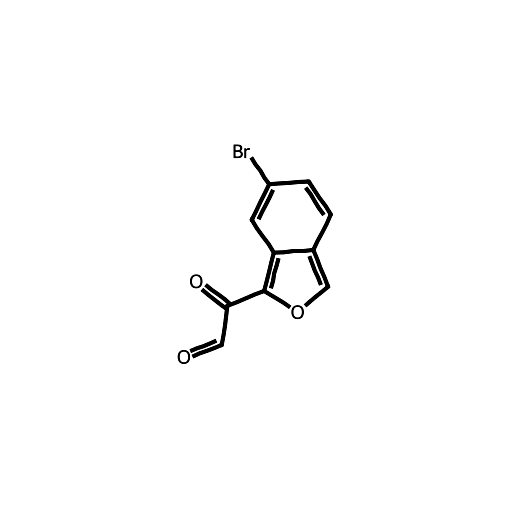 O=CC(=O)c1occ2ccc(Br)cc12